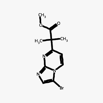 COC(=O)C(C)(C)c1ccn2c(Br)cnc2n1